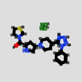 Cl.Cl.O=C([C@@H]1C[C@H](N2CCC(c3nnnn3-c3ccccc3)CC2)CN1)N1CCSC1